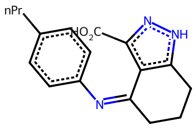 CCCc1ccc(/N=C2/CCCc3[nH]nc(C(=O)O)c32)cc1